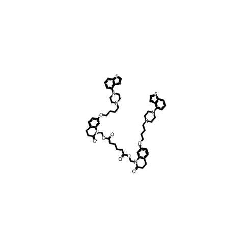 O=C(CCCCC(=O)OCN1C(=O)CCc2ccc(OCCCCN3CCN(c4cccc5sccc45)CC3)cc21)OCN1C(=O)CCc2ccc(OCCCCN3CCN(c4cccc5sccc45)CC3)cc21